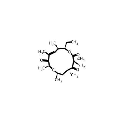 CC[C@H]1OC(=O)[C@@](C)(N)C(=O)[C@H](C)C[C@@H](C)C[C@@H](C)C(=O)/C(C)=C/[C@H]1C